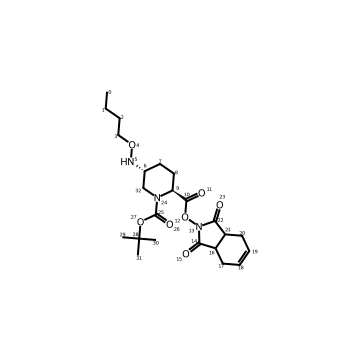 CCCCON[C@@H]1CC[C@@H](C(=O)ON2C(=O)C3CC=CCC3C2=O)N(C(=O)OC(C)(C)C)C1